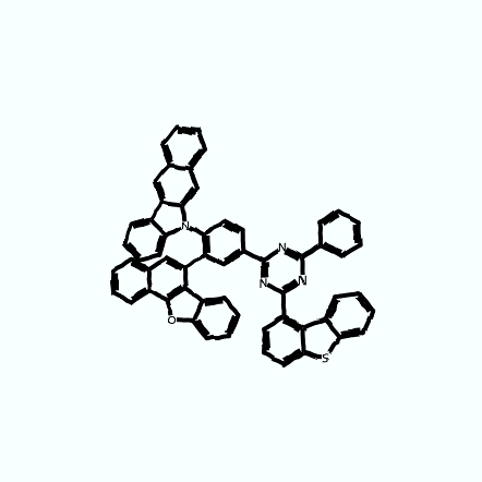 c1ccc(-c2nc(-c3ccc(-n4c5ccccc5c5cc6ccccc6cc54)c(-c4cc5ccccc5c5oc6ccccc6c45)c3)nc(-c3cccc4sc5ccccc5c34)n2)cc1